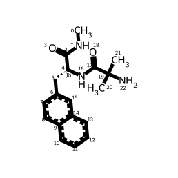 CNC(=O)[C@@H](Cc1ccc2ccccc2c1)NC(=O)C(C)(C)N